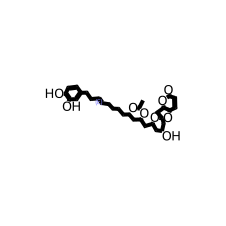 CC(=O)OC(CCCCCC/C=C/CCc1ccc(O)c(O)c1)CC1CC(O)CC2(CC3OC(=O)C=CC3O2)O1